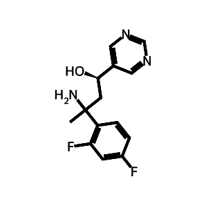 CC(N)(C[C@@H](O)c1cncnc1)c1ccc(F)cc1F